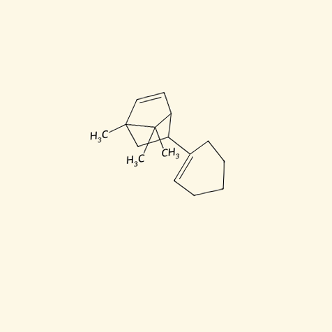 CC12C=CC(C(C3=CCCCC3)C1)C2(C)C